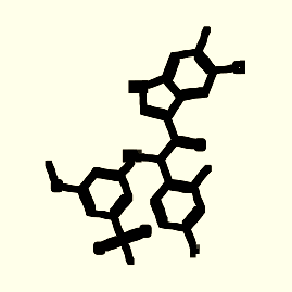 COc1cc(NC(C(=O)c2c[nH]c3cc(C)c(Cl)cc23)c2ccc(F)cc2C)cc(S(C)(=O)=O)c1